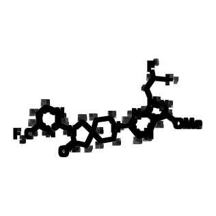 COc1nn(CC(F)F)c2nc(N3CCC4(CC3)CC(=O)N(c3nccc(C(F)(F)F)n3)C4)cnc12